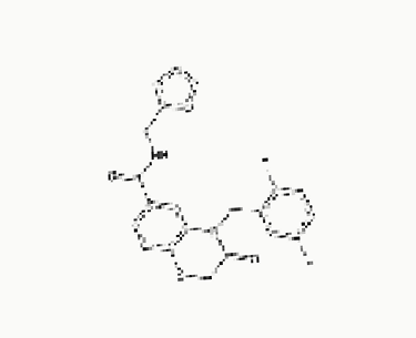 O=C(NCc1ccco1)c1ccc2c(c1)N(Cc1cc(F)ccc1F)C(=O)CS2